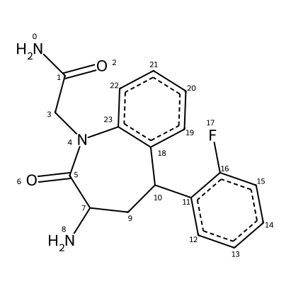 NC(=O)CN1C(=O)C(N)CC(c2ccccc2F)c2ccccc21